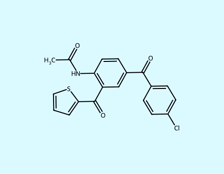 CC(=O)Nc1ccc(C(=O)c2ccc(Cl)cc2)cc1C(=O)c1cccs1